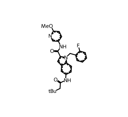 COc1ccc(NC(=O)c2cc3cc(NC(=O)CC(C)(C)C)ccc3n2Cc2ccccc2F)cn1